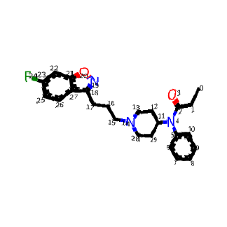 CCC(=O)N(c1ccccc1)C1CCN(CCCc2noc3cc(F)ccc23)CC1